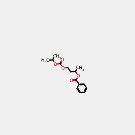 C[C](CCOC(=O)OC(C)C)OC(=O)c1ccccc1